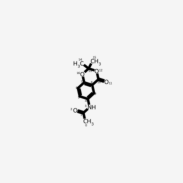 CC(=O)Nc1ccc2c(c1)C(=O)OC(C)(C)O2